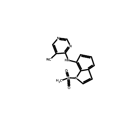 CS(=O)(=O)n1ccc2cccc(Nc3ncncc3C#N)c21